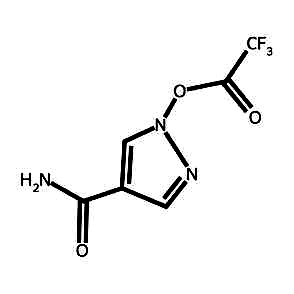 NC(=O)c1cnn(OC(=O)C(F)(F)F)c1